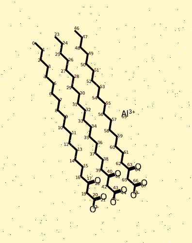 CCCCCCCCCCCCCCCCCC(=O)CC(=O)[O-].CCCCCCCCCCCCCCCCCC(=O)CC(=O)[O-].CCCCCCCCCCCCCCCCCC(=O)CC(=O)[O-].[Al+3]